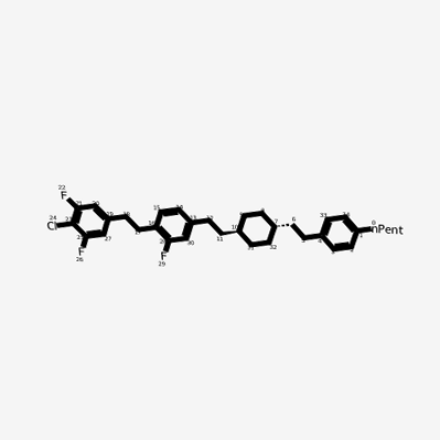 CCCCCc1ccc(CC[C@H]2CC[C@H](CCc3ccc(CCc4cc(F)c(Cl)c(F)c4)c(F)c3)CC2)cc1